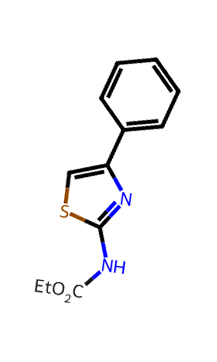 CCOC(=O)Nc1nc(-c2ccccc2)cs1